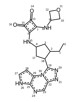 CCC1CC(Nc2c(NC3COC3)c(=O)c2=O)CC1c1nnc2cnc3[nH]ccc3n12